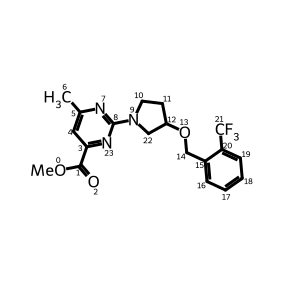 COC(=O)c1cc(C)nc(N2CCC(OCc3ccccc3C(F)(F)F)C2)n1